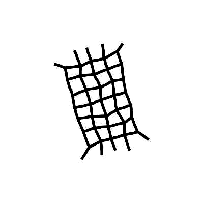 CC1C2C3C4C5C6C(C)C7(C)C8(C)C9(C)C(C)C%10C%11C%12C%13C%14C(C)C%15(C)C%16(C)C1(C)C21C32C43C54C67C85C%109C%116C%127C%138C%14%15C%161C28C37C465